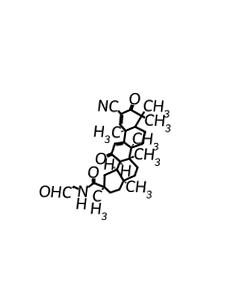 CC1(C)C(=O)C(C#N)=C[C@]2(C)C3=CC(=O)[C@@H]4[C@@H]5C[C@@](C)(C(=O)NCC=O)CC[C@]5(C)CC[C@@]4(C)[C@]3(C)CCC12